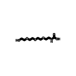 O=C(O)NCCOCCOCCOCCO